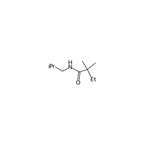 CCC(C)(C)C(=O)NCC(C)C